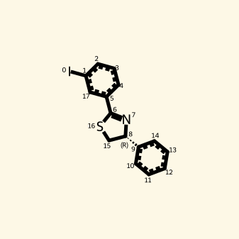 Ic1cccc(C2=N[C@H](c3ccccc3)CS2)c1